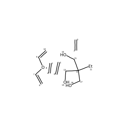 C=C.C=C.C=C.C=COC=C.CCC(CO)(CO)CO